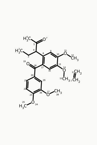 C=C.CCC(C(C)=O)c1cc(OC)c(OC)cc1C(=O)c1ccc(OC)c(OC)c1